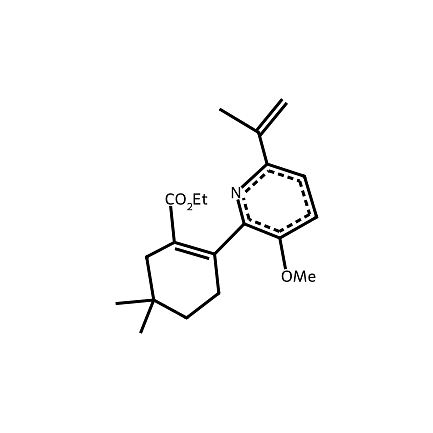 C=C(C)c1ccc(OC)c(C2=C(C(=O)OCC)CC(C)(C)CC2)n1